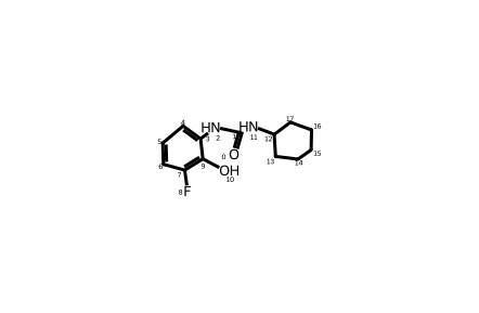 O=C(Nc1cccc(F)c1O)NC1CCCCC1